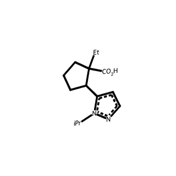 CCC1(C(=O)O)CCCC1c1ccnn1C(C)C